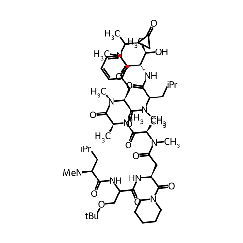 CN[C@@H](CC(C)C)C(=O)NC(COC(C)(C)C)C(=O)N[C@@H](CC(=O)N(C)[C@H](C)C(=O)N(C)[C@@H](C)C(=O)N(C)[C@@H](Cc1ccccc1)C(=O)N(C)C(CC(C)C)C(=O)N[C@H](C(=O)N(C)C(C)[C@@H]1CC1=O)[C@@H](C)O)C(=O)N1CCCCC1